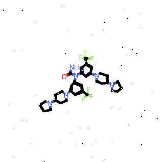 NC(=O)N(c1cc(N2CCC(N3CCCC3)CC2)cc(C(F)(F)F)c1)c1cc(N2CCC(N3CCCC3)CC2)cc(C(F)(F)F)c1